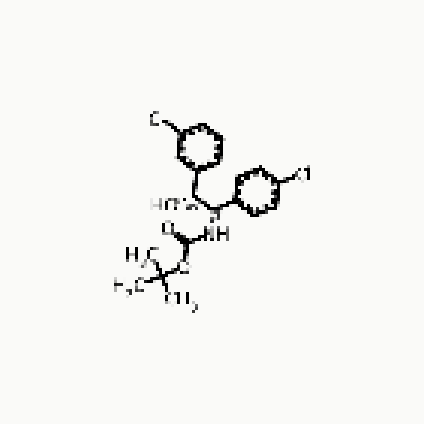 CC(C)(C)OC(=O)N[C@@H](c1ccc(Cl)cc1)[C@H](O)c1cccc(Cl)c1